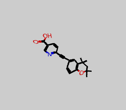 CC1(C)CC(C)(C)c2cc(C#Cc3ccc(C(=O)O)cn3)ccc2O1